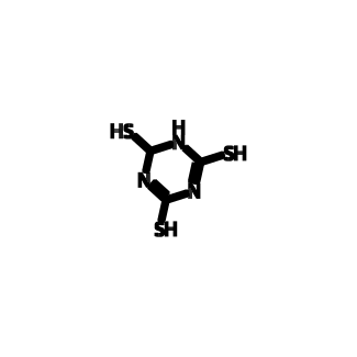 SC1=NC(S)NC(S)=N1